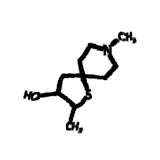 CC1SC2(CCN(C)CC2)CC1O